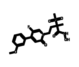 COc1cccc(-c2cc(=O)n(CCC(C)(C(=O)NO)S(C)(=O)=O)cc2F)c1